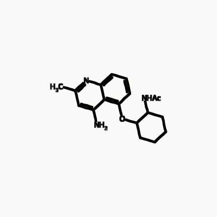 CC(=O)NC1CCCCC1Oc1cccc2nc(C)cc(N)c12